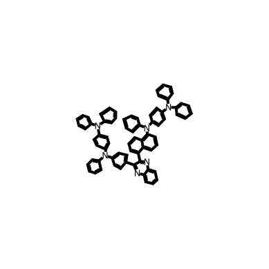 c1ccc(N(c2ccccc2)c2ccc(N(c3ccccc3)c3ccc(-c4nc5ccccc5nc4-c4cccc5c(N(c6ccccc6)c6ccc(N(c7ccccc7)c7ccccc7)cc6)cccc45)cc3)cc2)cc1